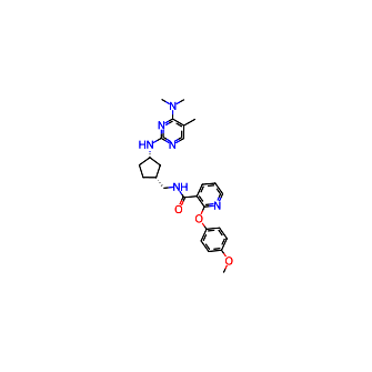 COc1ccc(Oc2ncccc2C(=O)NC[C@@H]2CC[C@H](Nc3ncc(C)c(N(C)C)n3)C2)cc1